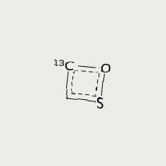 c1[13cH]os1